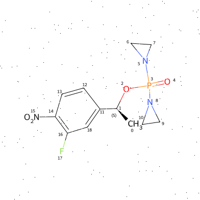 C[C@H](OP(=O)(N1CC1)N1CC1)c1ccc([N+](=O)[O-])c(F)c1